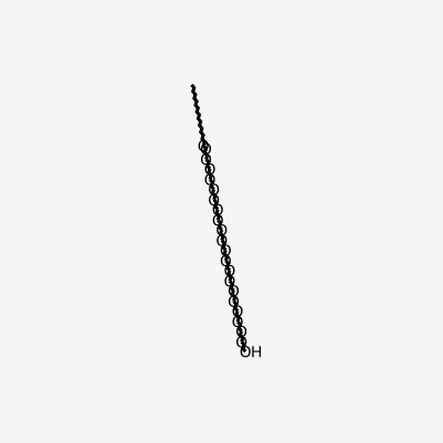 CCCCCCCCCCCCCCCCCCOOCCOCCOCCOCCOCCOCCOCCOCCOCCOCCOCCOCCOCCOCCOCCOCCOCCOCCOCCOCCO